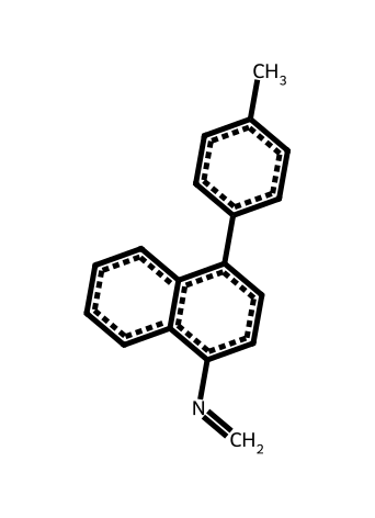 C=Nc1ccc(-c2ccc(C)cc2)c2ccccc12